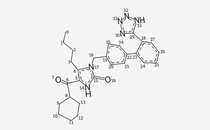 CCCCc1c(C(=O)C2CCCCC2)[nH]c(=O)n1Cc1ccc(-c2ccccc2-c2nnn[nH]2)cc1